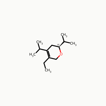 CCC1=C(C(C)C)C[C@@H](C(C)C)OC1